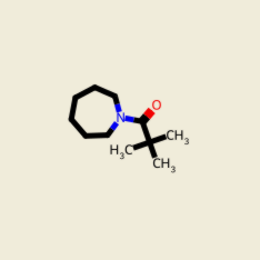 CC(C)(C)C(=O)N1CCCCCC1